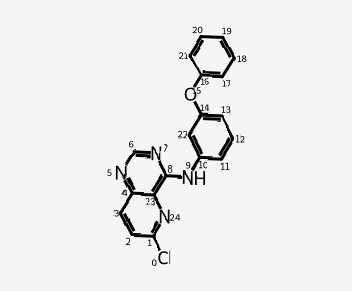 Clc1ccc2ncnc(Nc3cccc(Oc4ccccc4)c3)c2n1